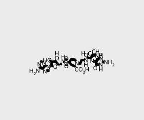 CC1(C)Nc2nc(N)[nH]c(=O)c2N=C1C(=O)NCCN1CCC(S(=O)(=O)NC[C@H]2O[C@@H](n3cnc4c(N)ncnc43)[C@@H](O)[C@H]2O)CC1C(=O)O